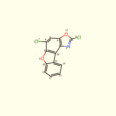 Clc1nc2c(cc(Cl)c3oc4ccccc4c32)o1